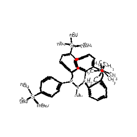 CCCCN(P(c1ccc([Si](CCCC)(CCCC)CCCC)cc1)c1ccc([Si](CCCC)(CCCC)CCCC)cc1)P(c1ccccc1[Si](C)(C)C)c1ccccc1[Si](C)(C)C